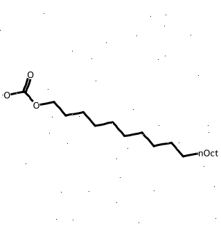 CCCCCCCCCCCCCCCCCCOC([O])=O